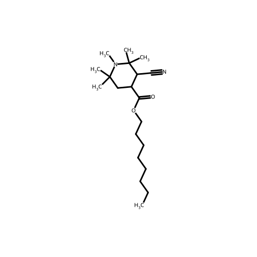 CCCCCCCCOC(=O)C1CC(C)(C)N(C)C(C)(C)C1C#N